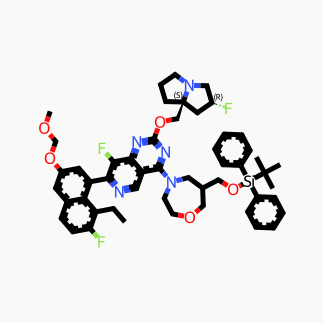 CCc1c(F)ccc2cc(OCOC)cc(-c3ncc4c(N5CCOCC(CO[Si](c6ccccc6)(c6ccccc6)C(C)(C)C)C5)nc(OC[C@@]56CCCN5C[C@H](F)C6)nc4c3F)c12